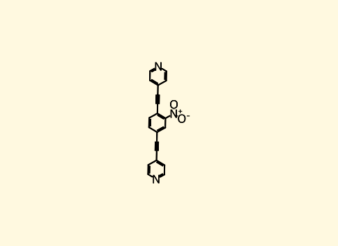 O=[N+]([O-])c1cc(C#Cc2ccncc2)ccc1C#Cc1ccncc1